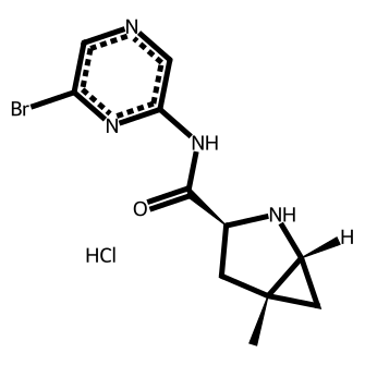 C[C@@]12C[C@@H](C(=O)Nc3cncc(Br)n3)N[C@@H]1C2.Cl